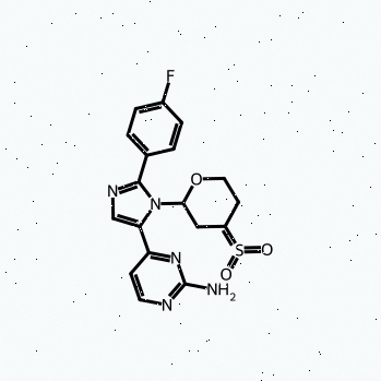 Nc1nccc(-c2cnc(-c3ccc(F)cc3)n2C2CC(=S(=O)=O)CCO2)n1